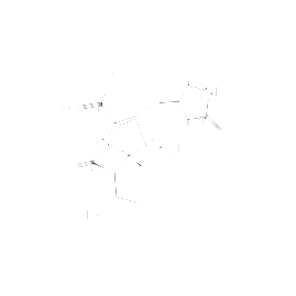 C[C@@H](O)[C@H]1C(=O)N2C(C(=O)O)=C(SC3CNC(=O)C3)[C@H](C)[C@H]12